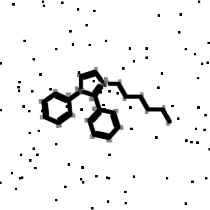 CCCCCC[n+]1ccn(-c2ccccc2)c1-c1ccccc1